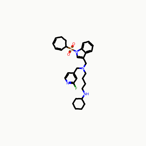 O=S(=O)(C1C=CC=CCC1)n1cc(CN(CCCCNC2CCCCC2)Cc2ccnc(F)c2)c2ccccc21